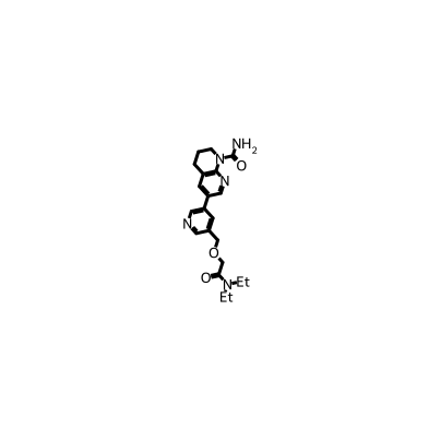 CCN(CC)C(=O)COCc1cncc(-c2cnc3c(c2)CCCN3C(N)=O)c1